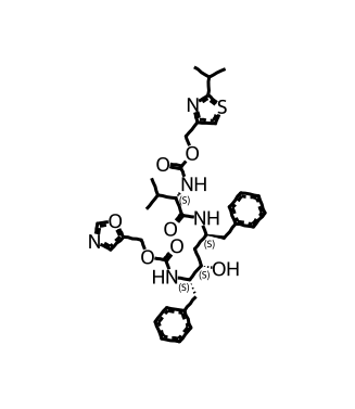 CC(C)c1nc(COC(=O)N[C@H](C(=O)N[C@@H](Cc2ccccc2)C[C@H](O)[C@H](Cc2ccccc2)NC(=O)OCc2cnco2)C(C)C)cs1